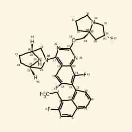 CCc1c(F)ccc2cccc(-c3c(F)cc4c(N5C[C@H]6CC[C@@H](C5)N6)nc(OC[C@@]56CCCN5C[C@H](F)C6)nc4c3F)c12